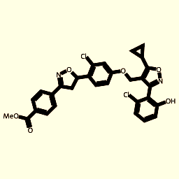 COC(=O)c1ccc(C2=NOC(c3ccc(OCc4c(-c5c(O)cccc5Cl)noc4C4CC4)cc3Cl)C2)cc1